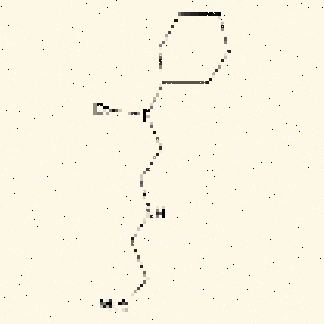 CCP(CCNCCSC)C1CCCCC1